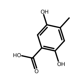 Cc1cc(O)c(C(=O)O)cc1O